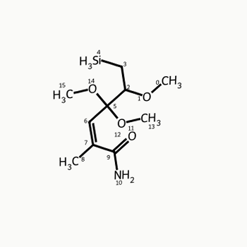 COC(C[SiH3])C(C=C(C)C(N)=O)(OC)OC